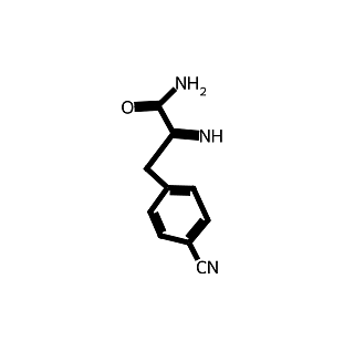 N#Cc1ccc(CC(=N)C(N)=O)cc1